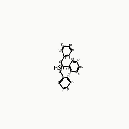 c1ccc([CH2][SnH]([CH2]c2ccccc2)[c]2ccccc2)cc1